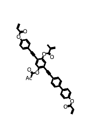 C=CC(=O)Oc1ccc(C#Cc2cc(OC(=O)C(C)=O)c(C#Cc3ccc(-c4ccc(OC(=O)C=C)cc4)cc3)cc2OC(=O)C(=C)C)cc1